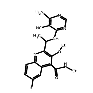 CCNC(=O)c1c(OCC)c(C(C)Nc2ncnc(N)c2C#N)nc2ccc(F)cc12